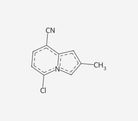 Cc1cc2c(C#N)ccc(Cl)n2c1